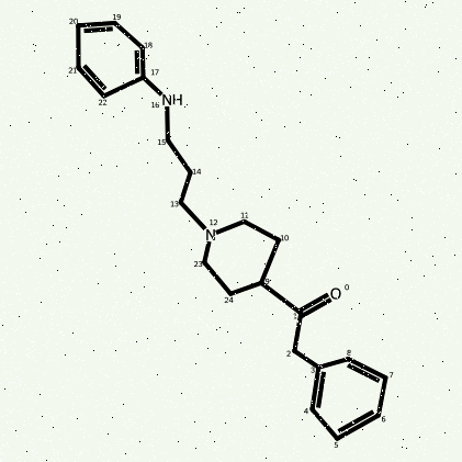 O=C(Cc1ccccc1)C1CCN(CCCNc2ccccc2)CC1